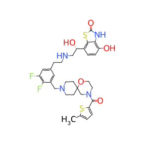 Cc1ccc(C(=O)N2CCOC3(CCN(Cc4cc(CCNC[C@H](O)c5ccc(O)c6[nH]c(=O)sc56)cc(F)c4F)CC3)C2)s1